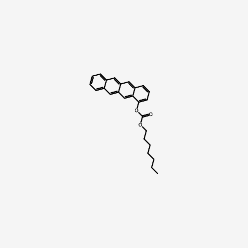 CCCCCCCOC(=O)Oc1cccc2cc3cc4ccccc4cc3cc12